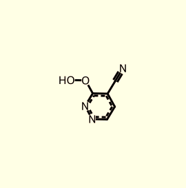 N#Cc1ccnnc1OO